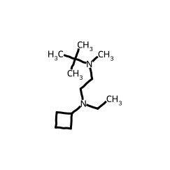 CCN(CCN(C)C(C)(C)C)C1CCC1